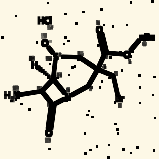 CCCCOC(=O)C1(CBr)CN2C(=O)C(N)[C@H]2[S+]([O-])C1.Cl